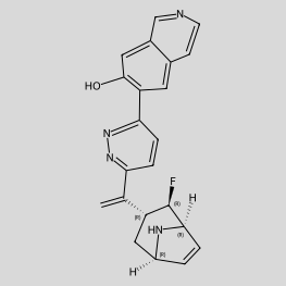 C=C(c1ccc(-c2cc3ccncc3cc2O)nn1)[C@H]1C[C@@H]2C=C[C@@H](N2)[C@@H]1F